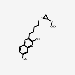 COc1ccc2nc(CCCCC[C@@H]3CC3OC=O)c(O)nc2c1